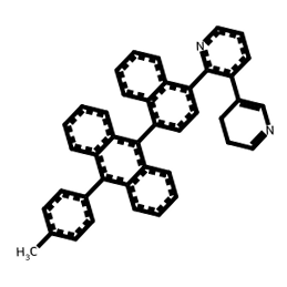 Cc1ccc(-c2c3ccccc3c(-c3ccc(-c4ncccc4C4=CN=CCC4)c4ccccc34)c3ccccc23)cc1